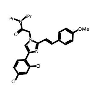 COc1ccc(C=Cc2nc(-c3ccc(Cl)cc3Cl)cn2CC(=O)N(C(C)C)C(C)C)cc1